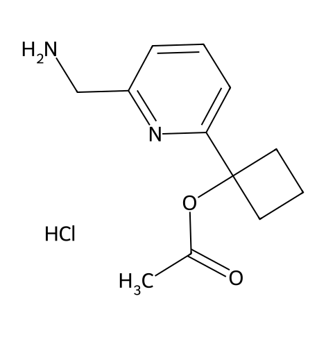 CC(=O)OC1(c2cccc(CN)n2)CCC1.Cl